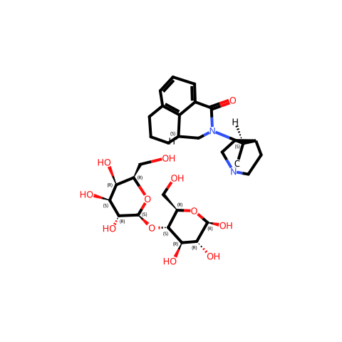 O=C1c2cccc3c2[C@H](CCC3)CN1[C@@H]1CN2CCC1CC2.OC[C@H]1O[C@@H](O[C@H]2[C@H](O)[C@@H](O)[C@H](O)O[C@@H]2CO)[C@H](O)[C@@H](O)[C@H]1O